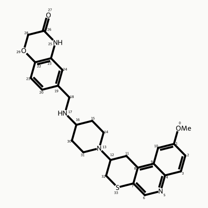 COc1ccc2ncc3c(c2c1)CC(N1CCC(NCc2ccc4c(c2)NC(=O)CO4)CC1)CS3